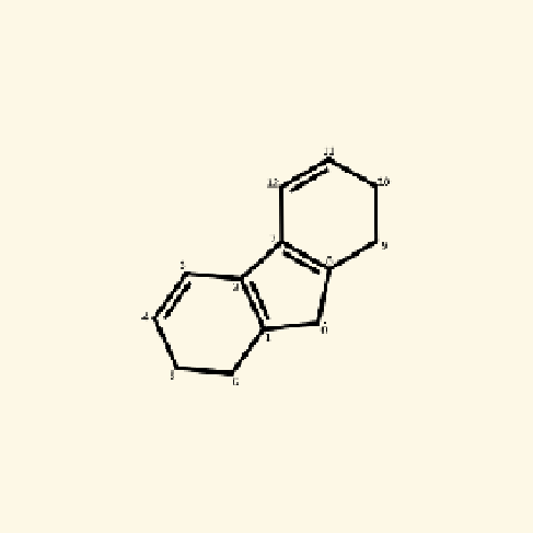 [CH]1C2=C(C=CCC2)C2=C1CCC=C2